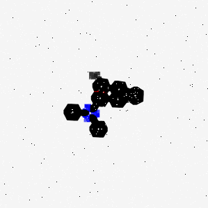 N#Cc1cccc(-c2ccc3c4c(ccc(-c5cccc(-c6nc(-c7ccccc7)nc(-c7ccccc7)n6)c5)c24)-c2ccccc2-3)c1